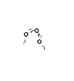 NCCCOc1cccc(-n2cc(-c3cccc(-c4cn(-c5cccc(OCCCN)c5)nn4)c3)nn2)c1